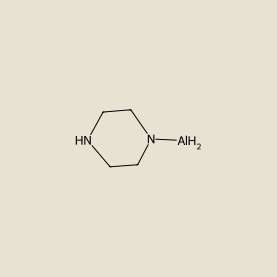 [AlH2][N]1CCNCC1